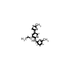 CCOc1cc(-c2csc(C)n2)cnc1Nc1cccc(C)n1